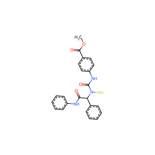 COC(=O)c1ccc(NC(=O)N(S)C(C(=O)Nc2ccccc2)c2ccccc2)cc1